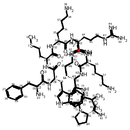 CSCC[C@H](NC(=O)[C@H](Cc1c[nH]c2ccccc12)NC(=O)[C@@H](N)Cc1ccccc1)C(=O)N[C@@H](CCCCN)C(=O)N[C@@H](CCCNC(=N)N)C(=O)N[C@@H](CCCCN)C(=O)N[C@@H](CCCNC(=N)N)C(=O)N[C@H](C(=O)N1CCC[C@H]1C(N)=O)C(C)C